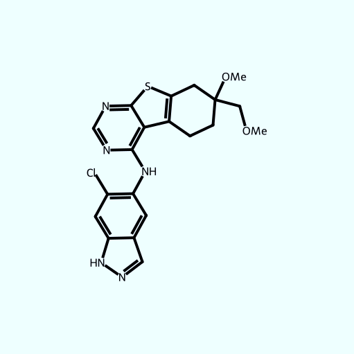 COCC1(OC)CCc2c(sc3ncnc(Nc4cc5cn[nH]c5cc4Cl)c23)C1